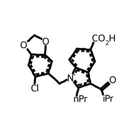 CCCc1c(C(=O)C(C)C)c2cc(C(=O)O)ccc2n1Cc1cc2c(cc1Cl)OCO2